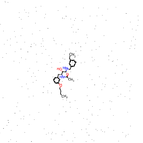 CCCCOc1cccc(C[C@H](NC(C)=O)[C@@H](O)CNCc2cccc(CC)c2)c1